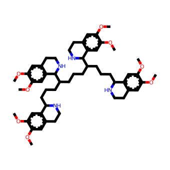 COc1cc2c(cc1OC)C(CCCC(CCCC(CCCC1NCCc3cc(OC)c(OC)cc31)C1NCCc3cc(OC)c(OC)cc31)C1NCCc3cc(OC)c(OC)cc31)NCC2